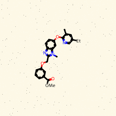 CCc1cnc(Oc2ccc3nc(COc4cccc(C(=O)OC)c4)n(C)c3c2)c(C)c1